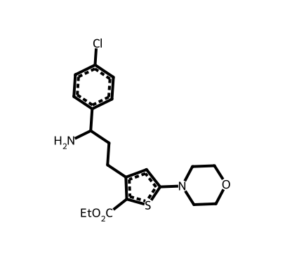 CCOC(=O)c1sc(N2CCOCC2)cc1CCC(N)c1ccc(Cl)cc1